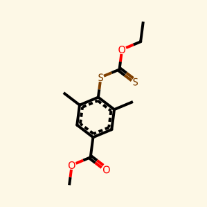 CCOC(=S)Sc1c(C)cc(C(=O)OC)cc1C